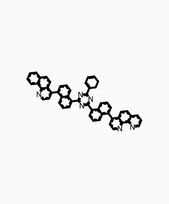 C1=CCCC(c2nc(-c3cccc4c(-c5ccnc6c5ccc5ccccc56)cccc34)nc(-c3cccc4c(-c5ccnc6c5ccc5cccnc56)cccc34)n2)=C1